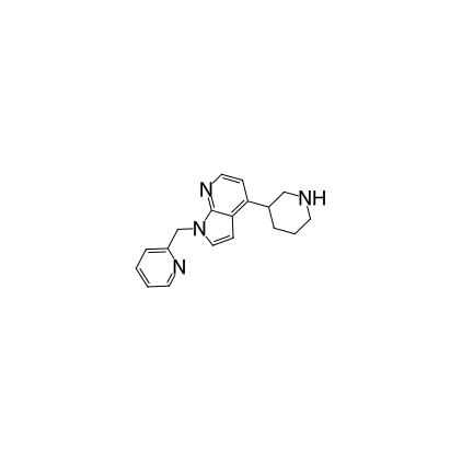 c1ccc(Cn2ccc3c(C4CCCNC4)ccnc32)nc1